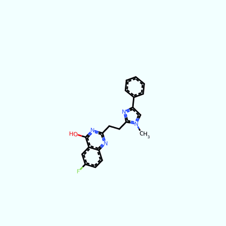 Cn1cc(-c2ccccc2)nc1CCc1nc(O)c2cc(F)ccc2n1